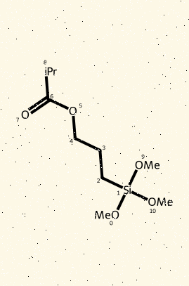 CO[Si](CCCOC(=O)C(C)C)(OC)OC